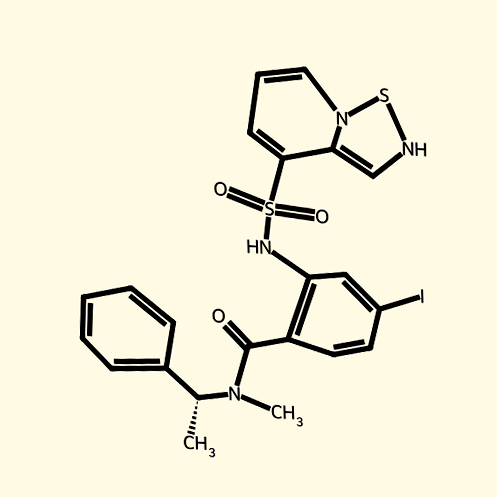 C[C@H](c1ccccc1)N(C)C(=O)c1ccc(I)cc1NS(=O)(=O)C1=CC=CN2SNC=C12